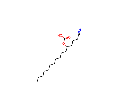 CCCCCCCCCCCC(CCCC#N)OC(=O)O